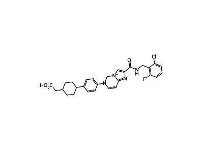 O=C(O)CC1CCC(c2ccc(N3C=CC4=NC(C(=O)NCc5c(F)cccc5Cl)=C[N+]4C3)cc2)CC1